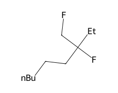 CCCCCCC(F)(CC)CF